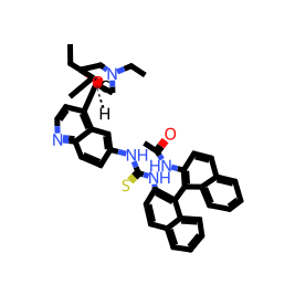 CCN1CC2(CC)O[C@@H](c3ccnc4ccc(NC(=S)Nc5ccc6ccccc6c5-c5c(NC(C)=O)ccc6ccccc56)cc34)C1CC2C